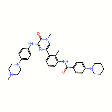 Cc1c(NC(=O)c2ccc(N3CCCCC3)cc2)cccc1-c1cn(C)c(=O)c(Nc2ccc(N3CCN(C)CC3)cc2)n1